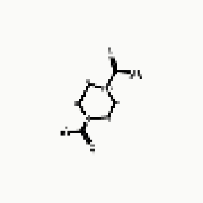 [CH2]C(=O)N1CCN(C(=O)O)CC1